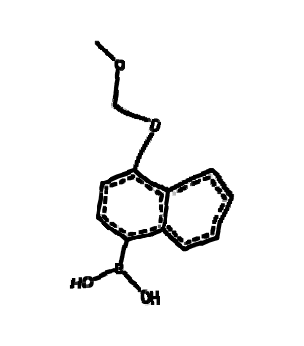 COCOc1ccc(B(O)O)c2ccccc12